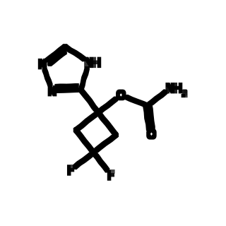 NC(=O)OC1(c2nnc[nH]2)CC(F)(F)C1